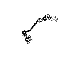 CC(C)(C)OC(=O)N1CCC(N2CCN(CCCCCCCCC#Cc3cccc4c3CN(C3CCC(=O)NC3=O)C4=O)CC2)CC1